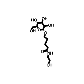 O=C(CCCCO[C@@H]1OC(CO)[C@@H](O)C(O)C1O)NCCO